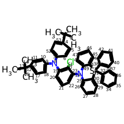 CC(C)(C)c1ccc(N(c2ccc(C(C)(C)C)cc2)c2cccc(N3c4ccccc4[Si](c4ccccc4)(c4ccccc4)c4ccccc43)c2Cl)cc1